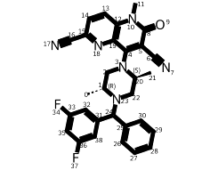 C[C@@H]1CN(c2c(C#N)c(=O)n(C)c3ccc(C#N)nc23)[C@@H](C)CN1C(c1ccccc1)c1cc(F)cc(F)c1